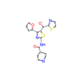 O=C(Nc1nc(-c2ccco2)c(C(=O)c2nccs2)s1)c1ccncc1